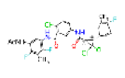 CC(=O)Nc1cc(NC(=O)c2cc(NC(=O)[C@H]3[C@H](c4ccc(F)c(C(F)(F)F)c4)C3(Cl)Cl)ccc2Cl)c(F)c(C)c1F